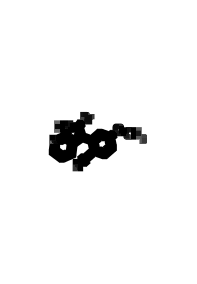 COc1ccc(C#N)c(-c2c(Br)[nH]c3ncccc23)c1